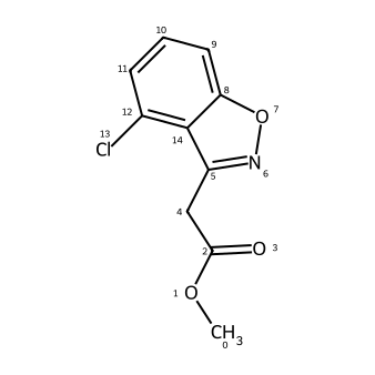 COC(=O)Cc1noc2cccc(Cl)c12